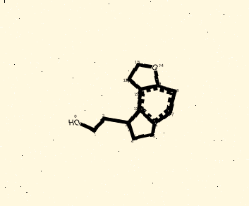 OCCC1CCc2ccc3c(c21)CCO3